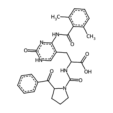 Cc1cccc(C)c1C(=O)Nc1nc(=O)[nH]cc1CC(NC(=O)N1CCCC1C(=O)c1ccccc1)C(=O)O